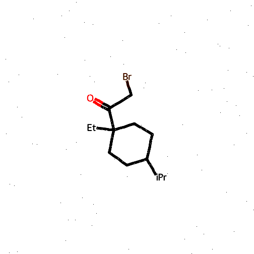 CCC1(C(=O)CBr)CCC(C(C)C)CC1